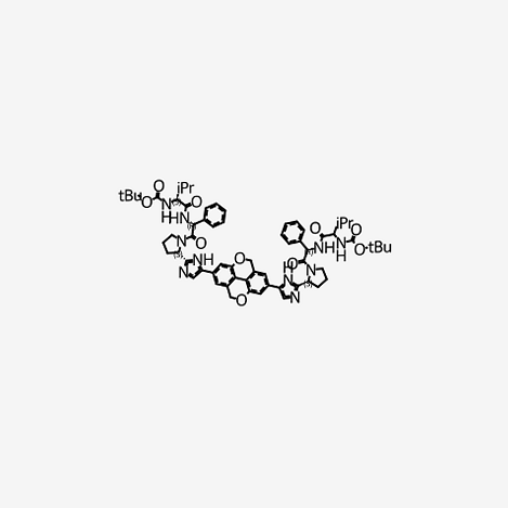 CC(C)C(NC(=O)OC(C)(C)C)C(=O)N[C@@H](C(=O)N1CCC[C@H]1c1ncc(-c2cc3c4c(c2)OCc2cc(-c5cnc([C@@H]6CCCN6C(=O)[C@H](NC(=O)[C@@H](NC(=O)OC(C)(C)C)C(C)C)c6ccccc6)[nH]5)cc(c2-4)OC3)[nH]1)c1ccccc1